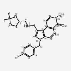 CC1(C)OC[C@@H](CNCc2cn(Cc3ccc(F)cc3)c3cnc4c(=O)n(O)ccc4c23)O1